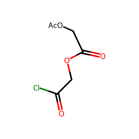 CC(=O)OCC(=O)OCC(=O)Cl